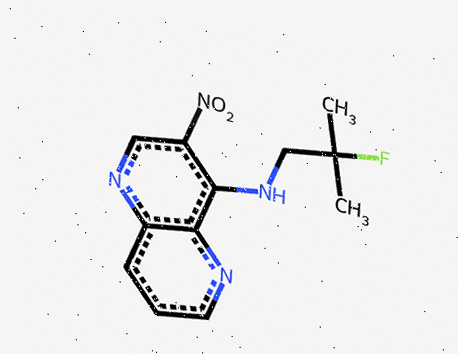 CC(C)(F)CNc1c([N+](=O)[O-])cnc2cccnc12